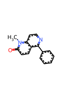 Cn1c(=O)ccc2c(-c3ccccc3)nccc21